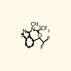 CN(C(=O)C(F)(F)F)c1nsc2cccc(CC(F)F)c12